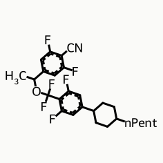 CCCCCC1CCC(c2cc(F)c(C(F)(F)OC(C)c3cc(F)c(C#N)c(F)c3)c(F)c2)CC1